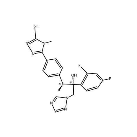 C[C@@H](c1ccc(-c2nnc(S)n2C)cc1)[C@](O)(Cn1cncn1)c1ccc(F)cc1F